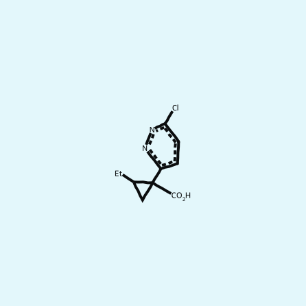 CCC1CC1(C(=O)O)c1ccc(Cl)nn1